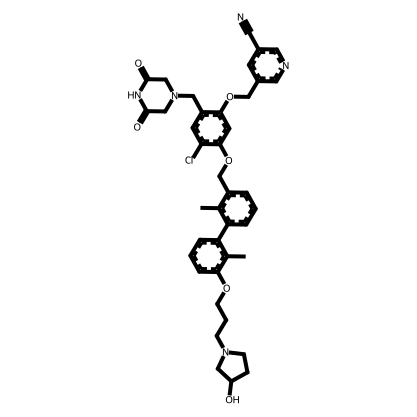 Cc1c(COc2cc(OCc3cncc(C#N)c3)c(CN3CC(=O)NC(=O)C3)cc2Cl)cccc1-c1cccc(OCCCN2CCC(O)C2)c1C